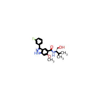 COc1cc2[nH]nc(-c3cccc(F)c3)c2cc1C(=O)N[C@H](CO)C(C)C